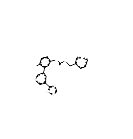 O=C(NCc1ccccc1)Oc1ccc(O)c(-c2cncc(-c3ncn[nH]3)c2)c1